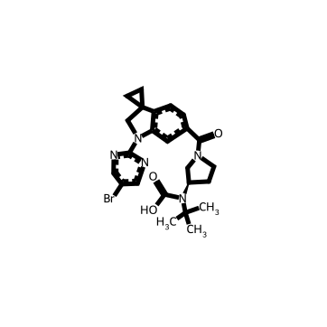 CC(C)(C)N(C(=O)O)[C@@H]1CCN(C(=O)c2ccc3c(c2)N(c2ncc(Br)cn2)CC32CC2)C1